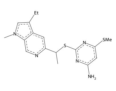 CCc1cn(C)c2cnc(C(C)Sc3nc(N)cc(SC)n3)cc12